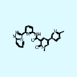 Cc1ccc(-c2cc(C(=O)Nc3cccc(-c4nnc5ccccn45)n3)c(=O)n(C)c2)cn1